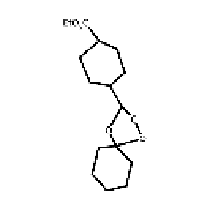 CCOC(=O)C1CCC(C2COC3(CCCCC3)O2)CC1